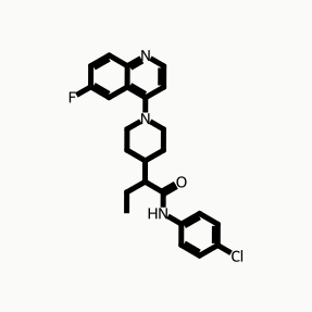 CCC(C(=O)Nc1ccc(Cl)cc1)C1CCN(c2ccnc3ccc(F)cc23)CC1